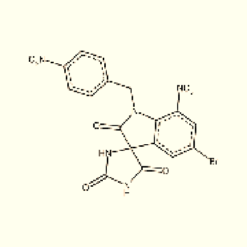 O=C1NC(=O)C2(N1)C(=O)N(Cc1ccc([N+](=O)[O-])cc1)c1c([N+](=O)[O-])cc(Br)cc12